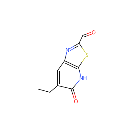 CCc1cc2nc(C=O)sc2[nH]c1=O